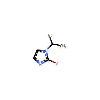 CCC(C)n1ccnc1Br